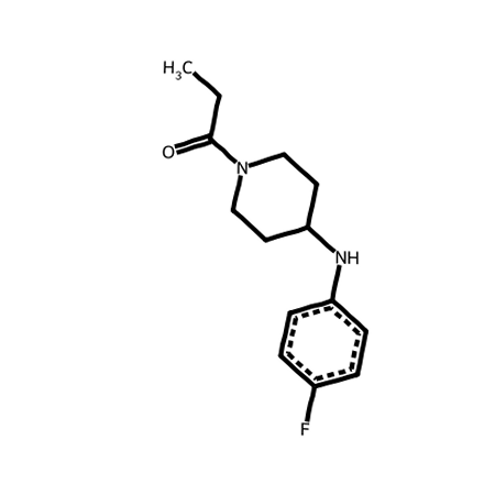 CCC(=O)N1CCC(Nc2ccc(F)cc2)CC1